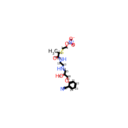 CC(SCCO[N+](=O)[O-])C(=O)NCCNCC(O)COc1ccccc1C#N